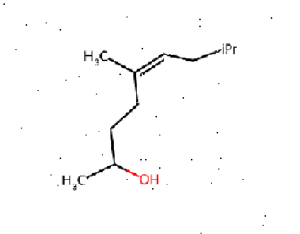 CC(=CCC(C)C)CCC(C)O